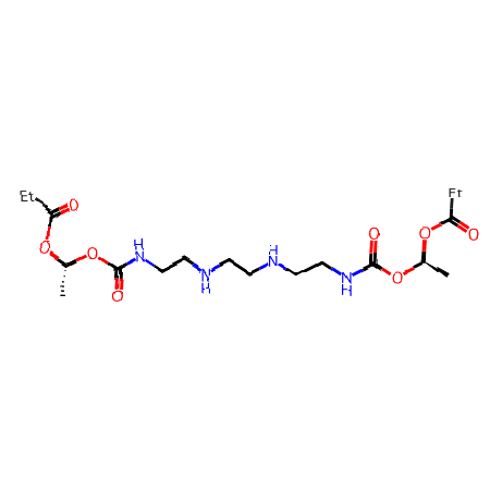 CCC(=O)O[C@@H](C)OC(=O)NCCNCCNCCNC(=O)O[C@H](C)OC(=O)CC